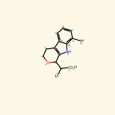 CCC(C(=O)O)C1OCCc2c1[nH]c1c(C(C)C)cccc21